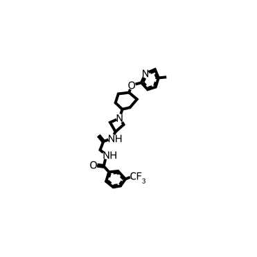 C=C(CNC(=O)c1cccc(C(F)(F)F)c1)NC1CN(C2CCC(Oc3ccc(C)cn3)CC2)C1